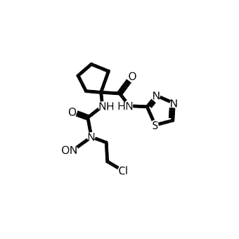 O=NN(CCCl)C(=O)NC1(C(=O)Nc2nncs2)CCCC1